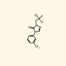 O=c1n(-c2cccc(C(F)(F)F)c2)cnn1SC(F)(Cl)Cl